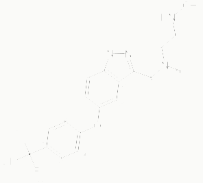 CNCCN(C)Cc1n[nH]c2ccc(Oc3ccc(C(F)(F)F)cc3)cc12